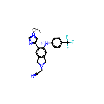 Cn1cnc(-c2cc3c(cc2Nc2ccc(C(F)(F)F)cc2)CN(CC#N)C3)c1